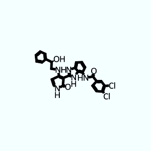 O=C(Nc1cccc2nc(-c3c(NC[C@H](O)c4ccccc4)cc[nH]c3=O)[nH]c12)c1ccc(Cl)c(Cl)c1